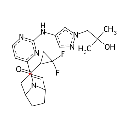 CC(C)(O)Cn1cc(Nc2nccc(C3=CC4CCC(C3)N4C(=O)C3CC3(F)F)n2)cn1